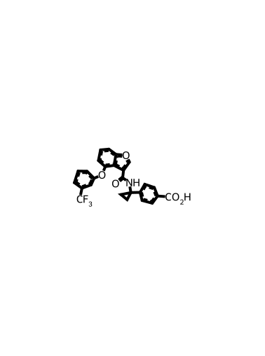 O=C(O)c1ccc(C2(NC(=O)c3coc4cccc(Oc5cccc(C(F)(F)F)c5)c34)CC2)cc1